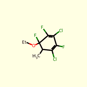 CCOC1(F)C(F)=C(Cl)C(F)=C(Cl)C1C